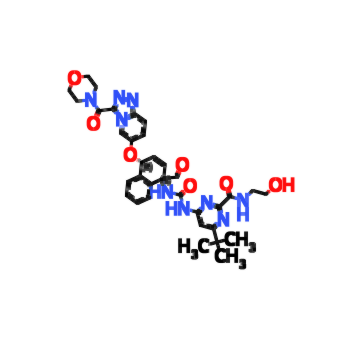 CC(C)(C)c1cc(NC(=O)N[C@@]2(C=O)C=C[C@@H](Oc3ccc4nnc(C(=O)N5CCOCC5)n4c3)c3ccccc32)nc(C(=O)NCCO)n1